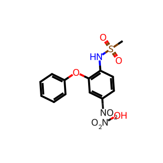 CS(=O)(=O)Nc1ccc([N+](=O)[O-])cc1Oc1ccccc1.O=[N+]([O-])O